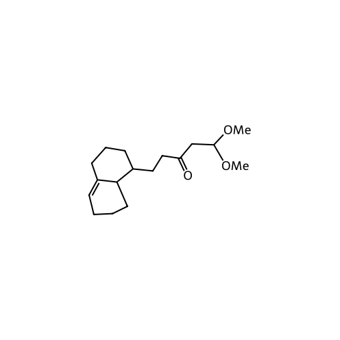 COC(CC(=O)CCC1CCCC2=CCCCC21)OC